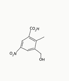 Cc1c(CO)cc([N+](=O)[O-])cc1C(=O)O